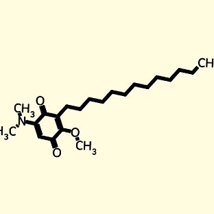 CCCCCCCCCCCCCC1=C(OC)C(=O)C=C(N(C)C)C1=O